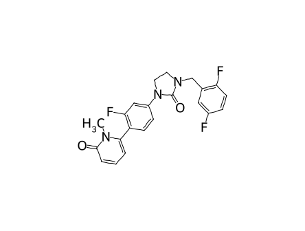 Cn1c(-c2ccc(N3CCN(Cc4cc(F)ccc4F)C3=O)cc2F)cccc1=O